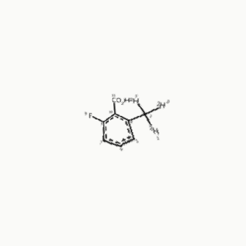 [2H]C([2H])([2H])c1cccc(F)c1C(=O)O